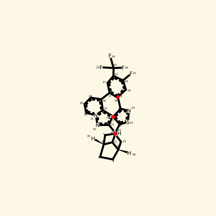 Cc1cc(N2C[C@H]3CC[C@@H](C2)C3Nc2nc3c(-c4ccc(F)c(C(F)(F)F)c4)cccn3n2)sn1